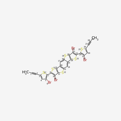 CC#Cc1cc(Br)c(-c2sc3c(sc4cc5c(cc43)sc3c(Br)c(-c4sc(C#CC)cc4Br)sc35)c2Br)s1